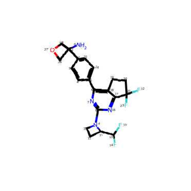 NC1(c2ccc(-c3nc(N4CCC4C(F)F)nc4c3CCC4(F)F)cc2)COC1